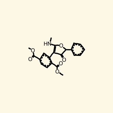 CNC1=C(c2cc(C(=O)OC)ccc2C(=O)OC)C(=O)C(c2ccccc2)O1